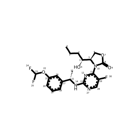 CCC[C@@H](O)[C@H]1COC(=O)N1c1nc(N[C@@H](C)c2cccc(OC(F)F)c2)ncc1F